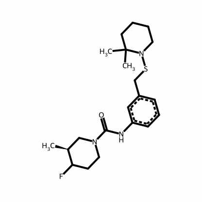 C[C@H]1CN(C(=O)Nc2cccc(CSN3CCCCC3(C)C)c2)CCC1F